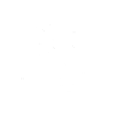 COC(=O)C1=C(C(=O)OC)SC2(S1)C(C(=O)OC)=C(C(=O)OC)SC1=C2c2ccnc(OC)c2N(C(=O)CN2C(=O)CCC2=O)C1(C)C